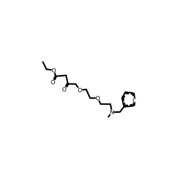 CCOC(=O)CC(=O)COCCOCCN(C)Cc1ccccc1